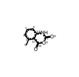 Cc1cccc2[nH]c(=O)oc(=O)c12